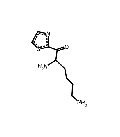 NCCCCC(N)C(=O)c1nccs1